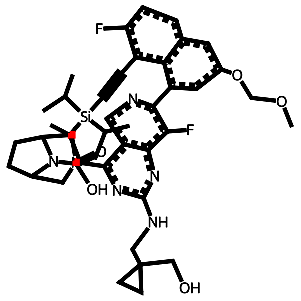 COCOc1cc(-c2ncc3c(N4CC5CCC(C4)N5C(=O)O)nc(NCC4(CO)CC4)nc3c2F)c2c(C#C[Si](C(C)C)(C(C)C)C(C)C)c(F)ccc2c1